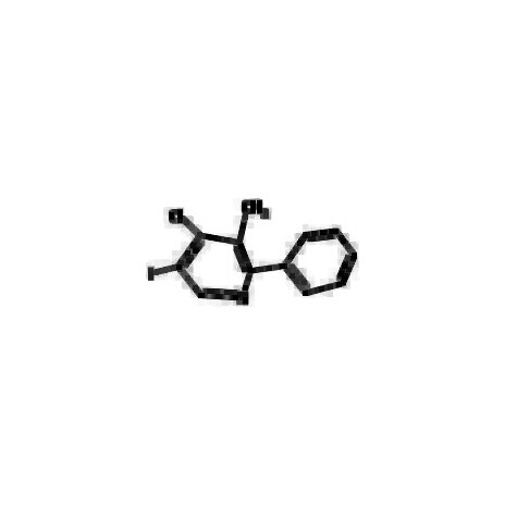 Cc1c(-c2ccccc2)ncc(I)c1Cl